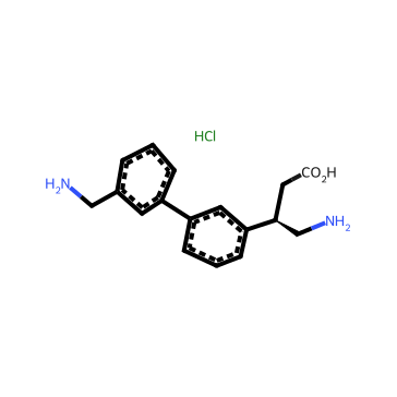 Cl.NCc1cccc(-c2cccc([C@H](CN)CC(=O)O)c2)c1